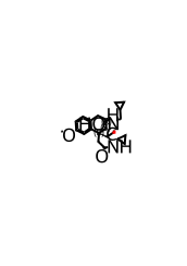 COc1ccc2c(c1)[C@]13CCN(CC4CC4)[C@H](C2)[C@]1(O)CC1(CC1)NC(=O)C3